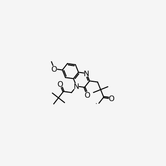 [CH2]C(=O)C(C)(C)Cc1nc2ccc(OC)cc2n(CC(=O)C(C)(C)C)c1=O